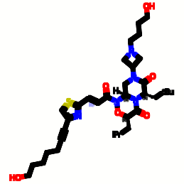 CC(C)C[C@H]1ON(C(=O)/C=C/c2nc(C#CCCCCCO)cs2)[C@H]2CN(C3CN(CCCCO)C3)C(=O)[C@H](CC(C)(C)C)N2C1=O